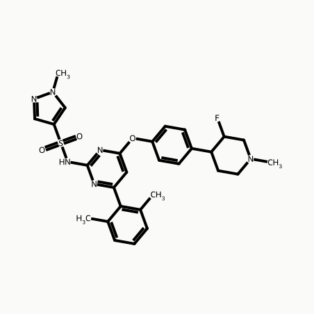 Cc1cccc(C)c1-c1cc(Oc2ccc(C3CCN(C)CC3F)cc2)nc(NS(=O)(=O)c2cnn(C)c2)n1